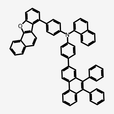 c1ccc(-c2c(-c3ccccc3)c3cc(-c4ccc(N(c5ccc(-c6cccc7oc8c9ccccc9ccc8c67)cc5)c5cccc6ccccc56)cc4)ccc3c3ccccc23)cc1